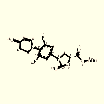 CCCCOC(=O)[C@H]1CN(c2cc(F)c(N3C=CC(=O)CC3)c(F)c2)C(=O)O1